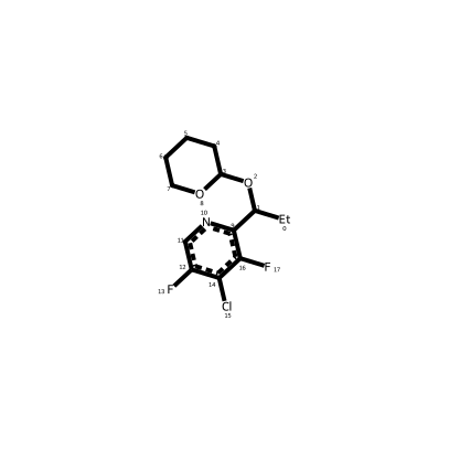 CCC(OC1CCCCO1)c1ncc(F)c(Cl)c1F